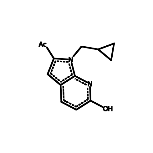 CC(=O)c1cc2ccc(O)nc2n1CC1CC1